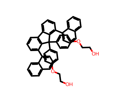 OCCOc1ccc(C2(c3ccc(OCCO)cc3)c3c(cccc3-c3cccc4ccccc34)-c3cccc(-c4cccc5ccccc45)c32)cc1